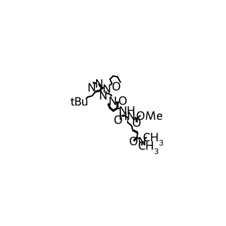 COC(=O)N[C@@H](CC/C=C/C(=O)N(C)C)C(=O)Nc1cccn(Cc2nc3c(CCC(C)(C)C)ncnc3n2C2CCCCO2)c1=O